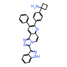 NC1(c2ccc(-c3nc4ccn5c(-c6n[nH]c7ccccc67)nnc5c4cc3-c3ccccc3)cc2)CCC1